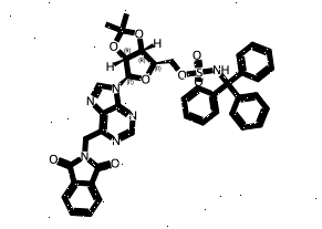 CC1(C)O[C@@H]2[C@H](O1)[C@@H](COS(=O)(=O)NC(c1ccccc1)(c1ccccc1)c1ccccc1)O[C@H]2n1cnc2c(CN3C(=O)c4ccccc4C3=O)ncnc21